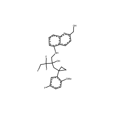 COc1ccc(F)cc1C1(CC(O)(CNc2cccc3nc(CO)ccc23)C(F)(F)CF)CC1